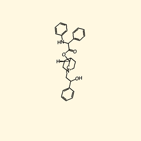 O=C(O[C@H]1C[N+]2(CC(O)c3ccccc3)CCC1CC2)C(Nc1ccccc1)c1ccccc1